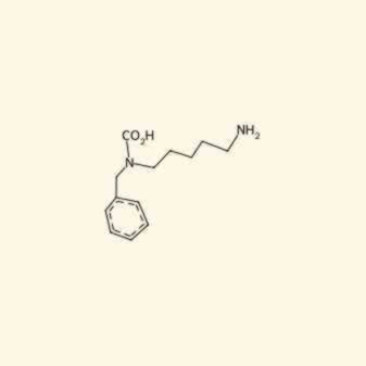 NCCCCCN(Cc1ccccc1)C(=O)O